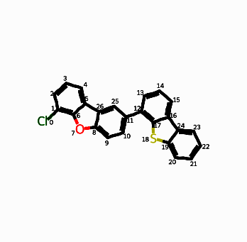 Clc1cccc2c1oc1ccc(-c3cccc4c3sc3ccccc34)cc12